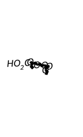 C=COC(=O)OCCOCC(C=C)OC(=O)O